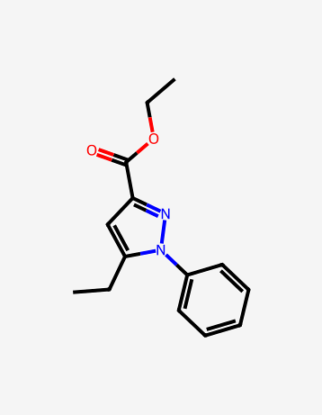 CCOC(=O)c1cc(CC)n(-c2ccccc2)n1